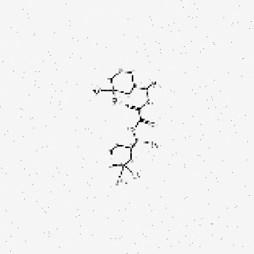 CC(OC(=O)C(=O)OC(C)C1CCCC(C)(C)C1)C1CCCC(C)(C)C1